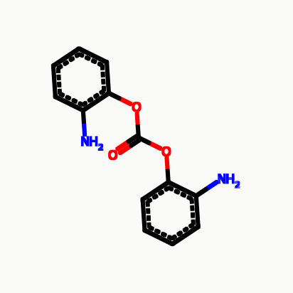 Nc1ccccc1OC(=O)Oc1ccccc1N